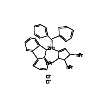 CCCC1C=[C]([Zr+2](=[C](c2ccccc2)c2ccccc2)[CH]2c3ccccc3-c3ccccc32)C(CCC)C1CCC.[Cl-].[Cl-]